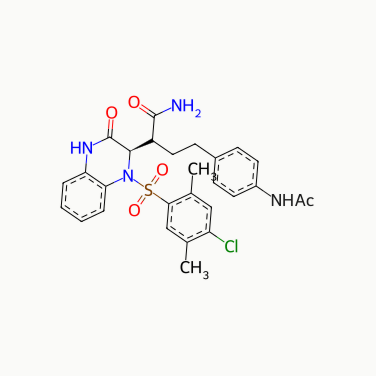 CC(=O)Nc1ccc(CCC(C(N)=O)[C@@H]2C(=O)Nc3ccccc3N2S(=O)(=O)c2cc(C)c(Cl)cc2C)cc1